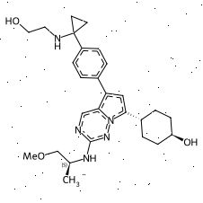 COC[C@H](C)Nc1ncc2c(-c3ccc(C4(NCCO)CC4)cc3)cc([C@H]3CC[C@H](O)CC3)n2n1